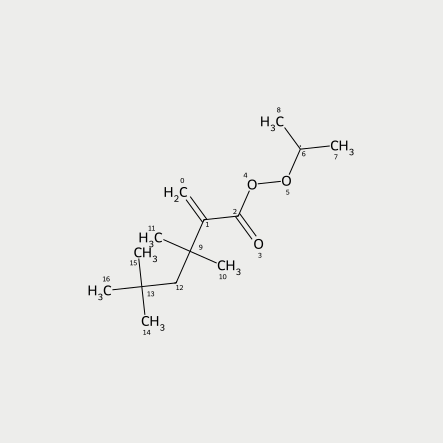 C=C(C(=O)OO[C](C)C)C(C)(C)CC(C)(C)C